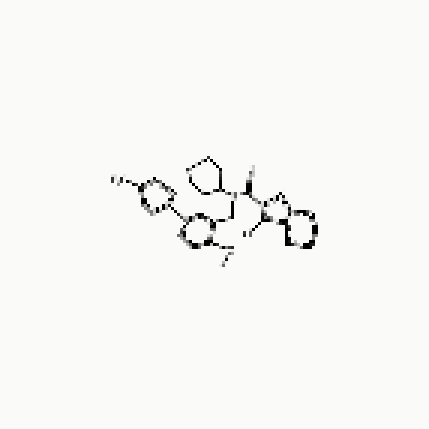 CCOc1ccc(-c2ccc(C(F)(F)F)cc2)cc1CN(C(=O)c1sc2ccccc2c1Cl)C1CCCCC1